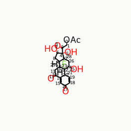 CC(=O)OCC(=O)[C@@]1(O)[C@H](O)C[C@H]2[C@@H]3CC(=O)C4=CC(=O)C=C[C@]4(C)[C@@]3(F)[C@@H](O)C[C@@]21C